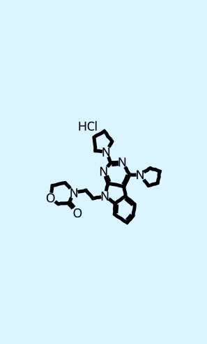 Cl.O=C1COCCN1CCn1c2ccccc2c2c(N3CCCC3)nc(N3CCCC3)nc21